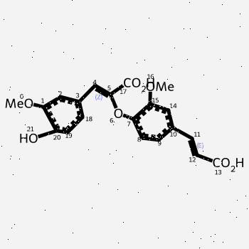 COc1cc(/C=C(\Oc2ccc(/C=C/C(=O)O)cc2OC)C(=O)O)ccc1O